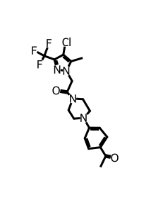 CC(=O)c1ccc(N2CCN(C(=O)Cn3nc(C(F)(F)F)c(Cl)c3C)CC2)cc1